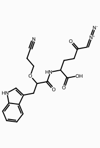 N#CCCOC(Cc1c[nH]c2ccccc12)C(=O)NC(CCC(=O)C=[N+]=[N-])C(=O)O